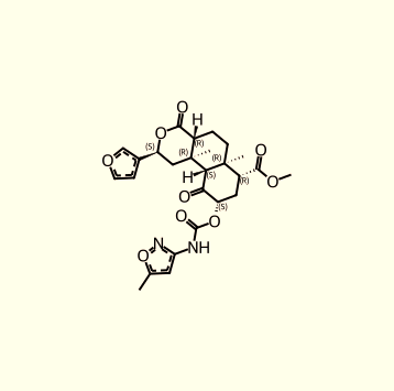 COC(=O)[C@@H]1C[C@H](OC(=O)Nc2cc(C)on2)C(=O)[C@H]2[C@@]1(C)CC[C@H]1C(=O)O[C@H](c3ccoc3)C[C@]21C